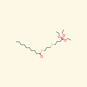 CCCCCCCCCC(=O)SCCCSCCC[Si](OCC)(OCC)OCC